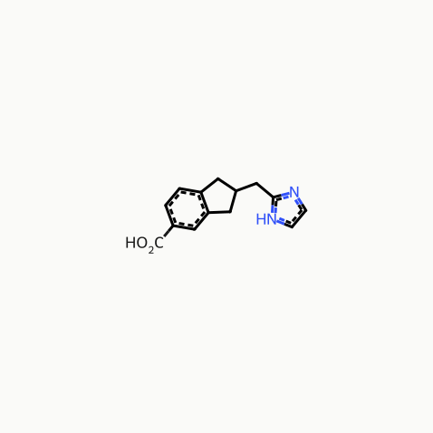 O=C(O)c1ccc2c(c1)CC(Cc1ncc[nH]1)C2